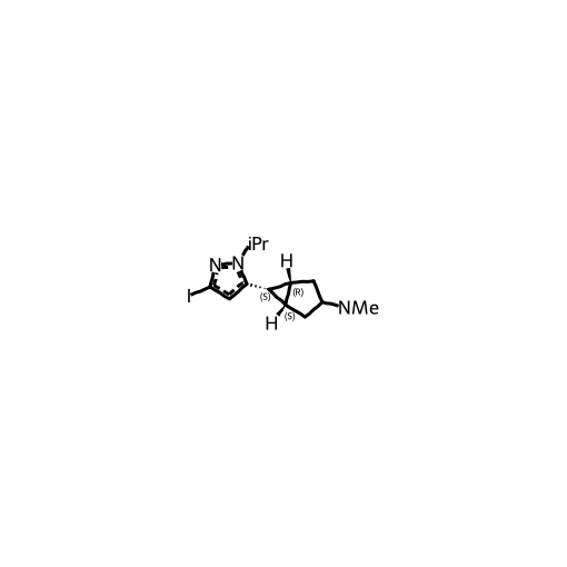 CNC1C[C@@H]2[C@H](C1)[C@@H]2c1cc(I)nn1C(C)C